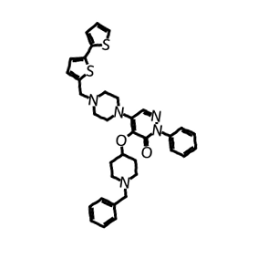 O=c1c(OC2CCN(Cc3ccccc3)CC2)c(N2CCN(Cc3ccc(-c4cccs4)s3)CC2)cnn1-c1ccccc1